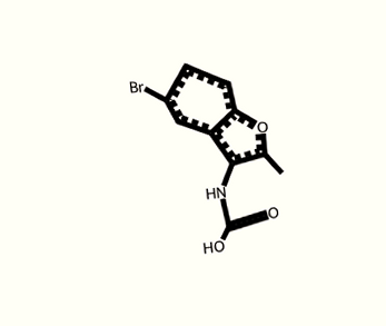 Cc1oc2ccc(Br)cc2c1NC(=O)O